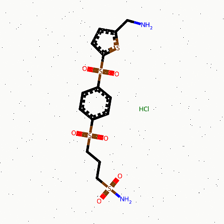 Cl.NCc1ccc(S(=O)(=O)c2ccc(S(=O)(=O)CCCS(N)(=O)=O)cc2)s1